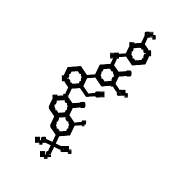 Cc1nccc(Nc2cc(-c3ccnc(-n4ncc5cc(C(C)(C)C)cc(F)c5c4=O)c3CO)cn(C)c2=O)n1